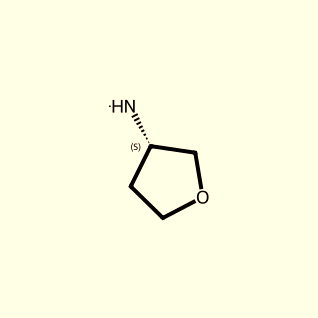 [NH][C@H]1CCOC1